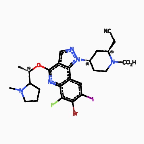 C[C@H](Oc1nc2c(F)c(Br)c(I)cc2c2c1cnn2[C@H]1CCN(C(=O)O)[C@H](CC#N)C1)C1CCCN1C